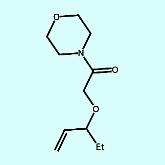 C=CC(CC)OCC(=O)N1CCOCC1